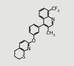 Cc1cnc2c(C(F)(F)F)cccc2c1-c1cccc(Oc2ccc3c(n2)SCCC3)c1